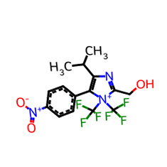 CC(C)C1=C(c2ccc([N+](=O)[O-])cc2)[N+](C(F)(F)F)(C(F)(F)F)C(CO)=N1